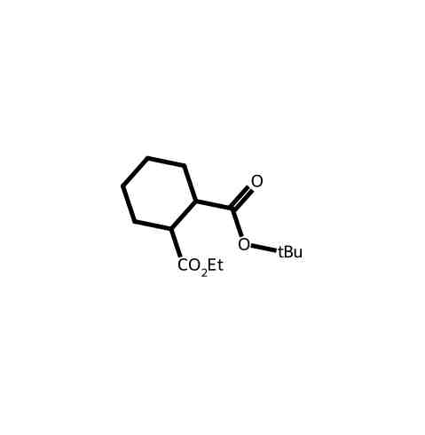 CCOC(=O)C1CCCCC1C(=O)OC(C)(C)C